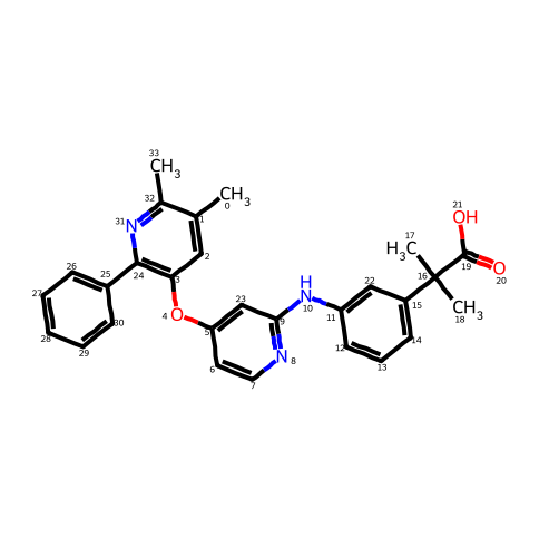 Cc1cc(Oc2ccnc(Nc3cccc(C(C)(C)C(=O)O)c3)c2)c(-c2ccccc2)nc1C